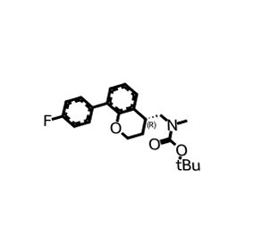 CN(C[C@@H]1CCOc2c(-c3ccc(F)cc3)cccc21)C(=O)OC(C)(C)C